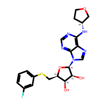 O[C@@H]1[C@H](O)[C@H](n2cnc3c(N[C@@H]4CCOC4)ncnc32)O[C@@H]1CSc1cccc(F)c1